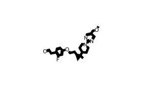 COCc1cnc(N2CCC(C3(C)CC3CCOc3ccc(CC=O)c(F)c3)CC2)nc1